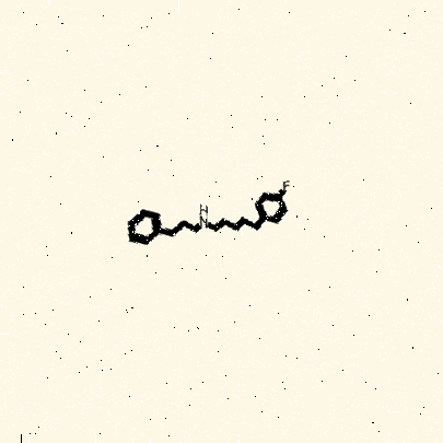 Fc1ccc(CCCCCNCCCc2ccccc2)cc1